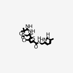 CC1=CC=C(CNC(=O)c2cc(Cl)c([C@]3(C)CS(=O)(=O)C(C)(C)C(=N)N3)s2)NN1